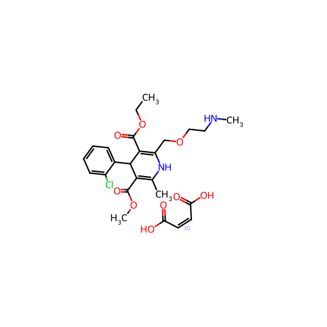 CCOC(=O)C1=C(COCCNC)NC(C)=C(C(=O)OC)C1c1ccccc1Cl.O=C(O)/C=C\C(=O)O